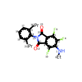 CCNc1c(F)c(F)c2c(c1F)C(=O)N(c1c(C(C)C)cccc1C(C)C)C2=O